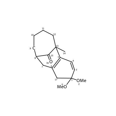 COC1(OC)C=CC2=C(CC3CCCCC2(C)C3=O)C1